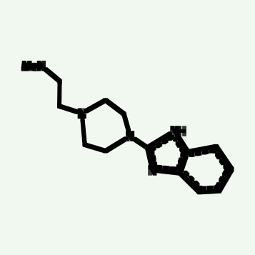 CNCCN1CCN(c2nc3ccccc3[nH]2)CC1